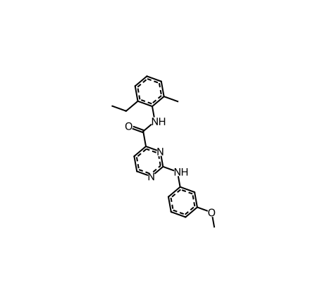 CCc1cccc(C)c1NC(=O)c1ccnc(Nc2cccc(OC)c2)n1